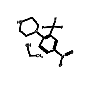 CCO.O=[N+]([O-])c1ccc(N2CCNCC2)c(C(F)(F)F)c1